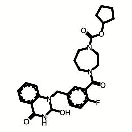 O=C1NC(O)N(Cc2ccc(F)c(C(=O)N3CCCN(C(=O)OC4CCCC4)CC3)c2)c2ccccc21